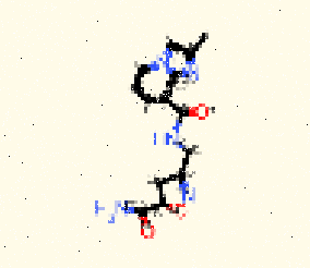 Cc1cn2cccc(C(=O)NCC3=NOC(C(N)=O)C3)c2n1